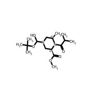 COC(=O)[C@H]1CN(C(O)OC(C)(C)C)C[C@@H](C)N1C(=O)C(C)C